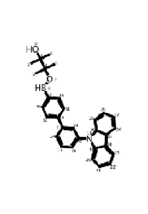 CC(C)(O)C(C)(C)OBc1ccc(-c2cccc(N3c4ccccc4C4C=CC=CC43)c2)cc1